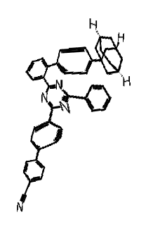 N#Cc1ccc(-c2ccc(-c3nc(-c4ccccc4)nc(-c4ccccc4-c4ccc(C56C[C@H]7C[C@@H](C5)C[C@@H](C6)C7)cc4)n3)cc2)cc1